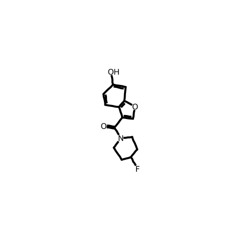 O=C(c1coc2cc(O)ccc12)N1CCC(F)CC1